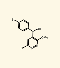 CCc1ccc(C(O)c2cc(Cl)nnc2OC)cc1